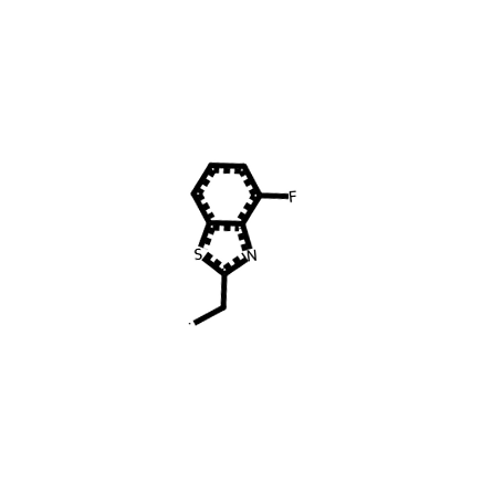 [CH2]Cc1nc2c(F)cccc2s1